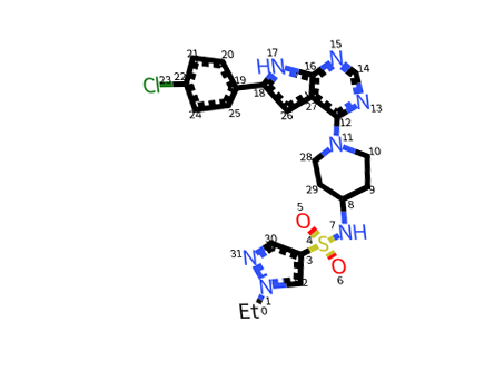 CCn1cc(S(=O)(=O)NC2CCN(c3ncnc4[nH]c(-c5ccc(Cl)cc5)cc34)CC2)cn1